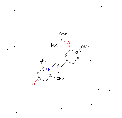 COc1ccc(/C=C/n2c(C)cc(=O)cc2C)cc1OC(C)SC